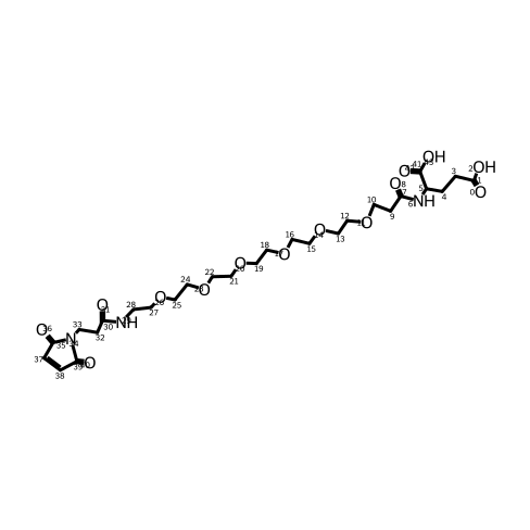 O=C(O)CCC(NC(=O)CCOCCOCCOCCOCCOCCOCCNC(=O)CCN1C(=O)C=CC1=O)C(=O)O